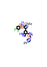 COc1ncc(-c2cc(-c3nnc(CN4CCN(C(C)C)CC4)o3)c3cn[nH]c3c2)cc1NS(=O)(=O)c1ccc(F)c(F)c1